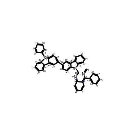 C=N/C(=C1/C=CC=C/C1=N/Cn1c2ccccc2c2cc(-c3ccc4c(c3)c3ccccc3n4-c3ccccc3)ccc21)c1ccccc1